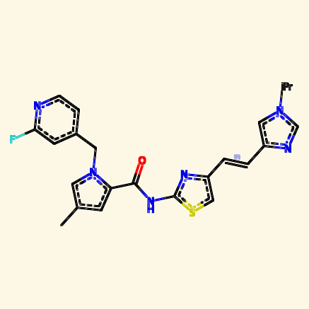 Cc1cc(C(=O)Nc2nc(/C=C/c3cn(C(C)C)cn3)cs2)n(Cc2ccnc(F)c2)c1